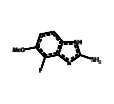 COc1ccc2[nH]c(N)nc2c1F